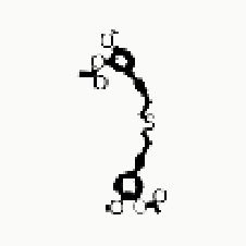 COc1ccc(C#CCCSCCC#Cc2ccc(OC)c(OC(C)=O)c2)cc1OC(C)=O